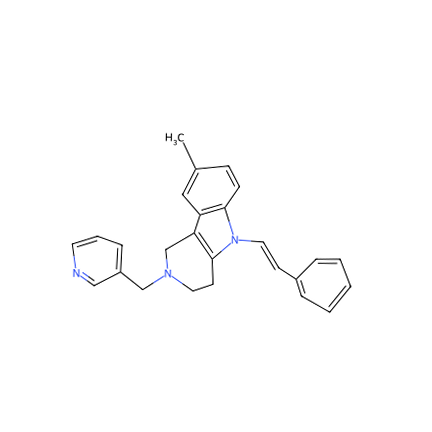 Cc1ccc2c(c1)c1c(n2C=Cc2ccccc2)CCN(Cc2cccnc2)C1